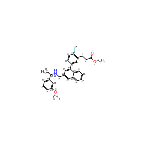 COC(=O)CCc1cc(-c2cc(CN[C@H](C)c3cccc(OC)c3)cc3ccccc23)ccc1F